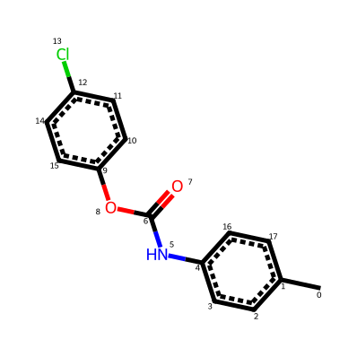 Cc1ccc(NC(=O)Oc2ccc(Cl)cc2)cc1